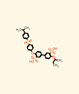 CCC(C)Oc1ccc(-c2ccc(Oc3ccc(S(=O)(=O)c4ccc(C(C)C)cc4)cc3)c(S(=O)(=O)O)c2)cc1S(=O)(=O)O